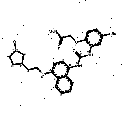 CNC(=O)COc1ccc(C(C)(C)C)cc1NC(=O)Nc1ccc(OCCC2CC[S+]([O-])C2)c2ccccc12